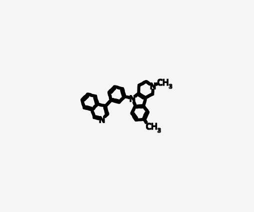 Cc1ccc2c(c1)c1c(n2-c2cccc(-c3cncc4ccccc34)c2)CCN(C)C1